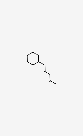 COCC=CC1CCCCC1